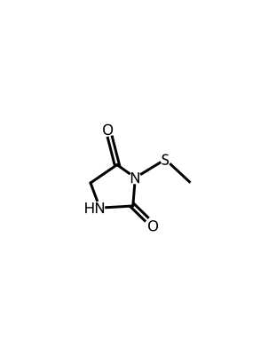 CSN1C(=O)CNC1=O